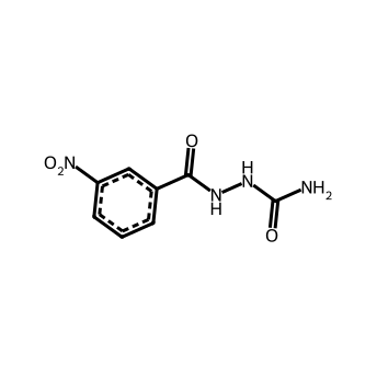 NC(=O)NNC(=O)c1cccc([N+](=O)[O-])c1